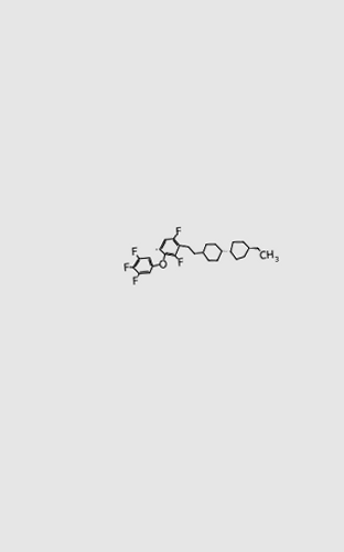 CC[C@H]1CC[C@H](C2CCC(CCc3c(F)c[c]c(Oc4cc(F)c(F)c(F)c4)c3F)CC2)CC1